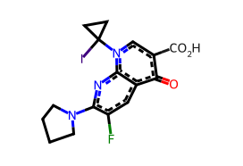 O=C(O)c1cn(C2(I)CC2)c2nc(N3CCCC3)c(F)cc2c1=O